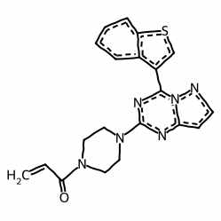 C=CC(=O)N1CCN(c2nc(-c3csc4ccccc34)n3nccc3n2)CC1